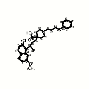 COc1ccc2ncc(Cl)c(C(F)CCC3(C(=O)O)CCN(CCCSc4ccccc4)CC3)c2c1